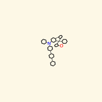 c1ccc(-c2ccc(-c3ccc(N(c4ccccc4)c4ccc5c(c4)C4(c6ccccc6Oc6ccccc64)c4ccccc4-5)cc3)cc2)cc1